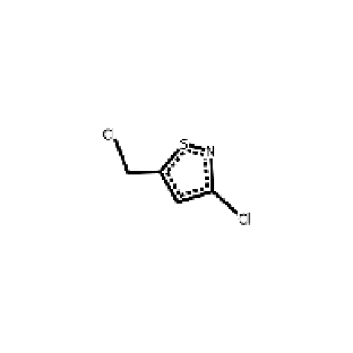 ClCc1cc(Cl)ns1